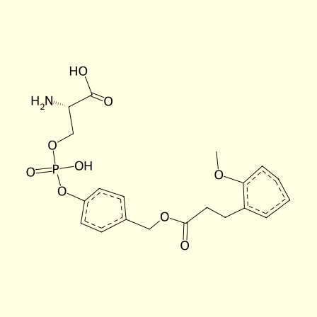 COc1ccccc1CCC(=O)OCc1ccc(OP(=O)(O)OC[C@H](N)C(=O)O)cc1